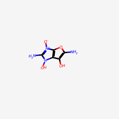 Nc1oc2c(c1O)n(O)c(N)[n+]2[O-]